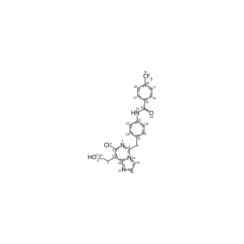 O=C(O)Cc1c(Cl)nc(Cc2ccc(NC(=O)c3ccc(C(F)(F)F)cc3)cc2)n2ccnc12